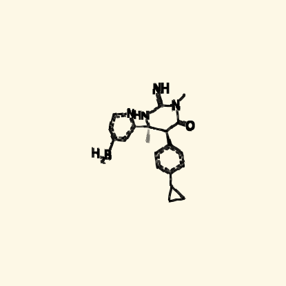 Bc1ccnc([C@@]2(C)NC(=N)N(C)C(=O)[C@H]2c2ccc(C3CC3)cc2)c1